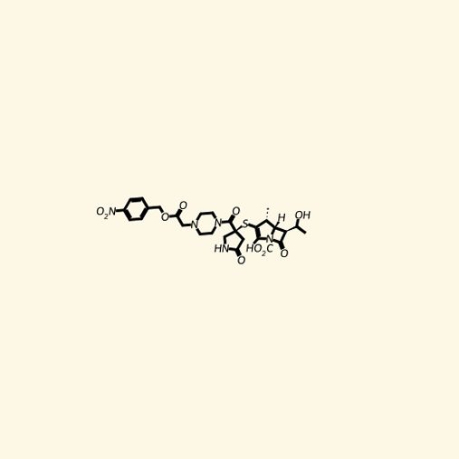 CC(O)[C@H]1C(=O)N2C(C(=O)O)=C(S[C@]3(C(=O)N4CCN(CC(=O)OCc5ccc([N+](=O)[O-])cc5)CC4)CNC(=O)C3)[C@H](C)[C@H]12